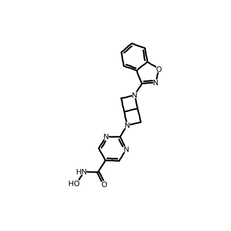 O=C(NO)c1cnc(N2CC3C2CN3c2noc3ccccc23)nc1